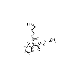 CCCCOC(=O)c1sc2ccccc2c1C(=O)OCCCC